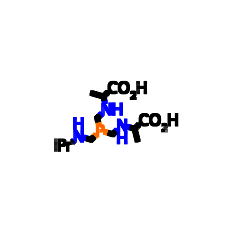 CC(C)NCP(CNC(C)C(=O)O)CNC(C)C(=O)O